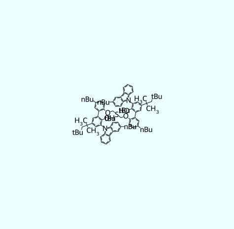 CCCCc1ccc(OCS(COc2ccc(CCCC)cc2-c2cc(C(C)(C)CC(C)(C)C)cc(-n3c4ccccc4c4cc(CCCC)ccc43)c2O)(C(C)(C)C)C(C)(C)C)c(-c2cc(C(C)(C)CC(C)(C)C)cc(-n3c4ccccc4c4cc(CCCC)ccc43)c2O)c1